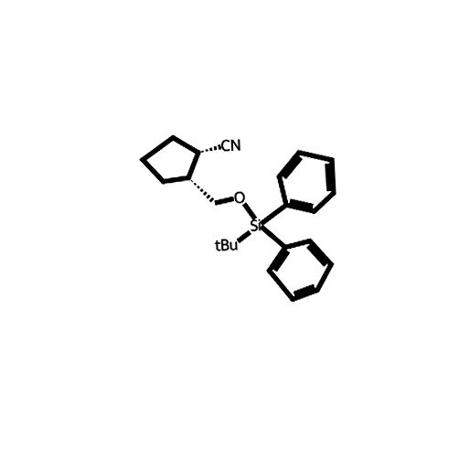 CC(C)(C)[Si](OC[C@@H]1CCC[C@@H]1C#N)(c1ccccc1)c1ccccc1